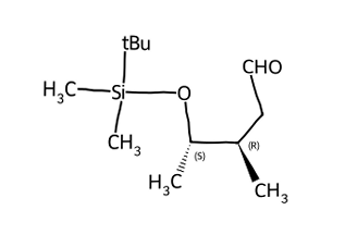 C[C@H](CC=O)[C@H](C)O[Si](C)(C)C(C)(C)C